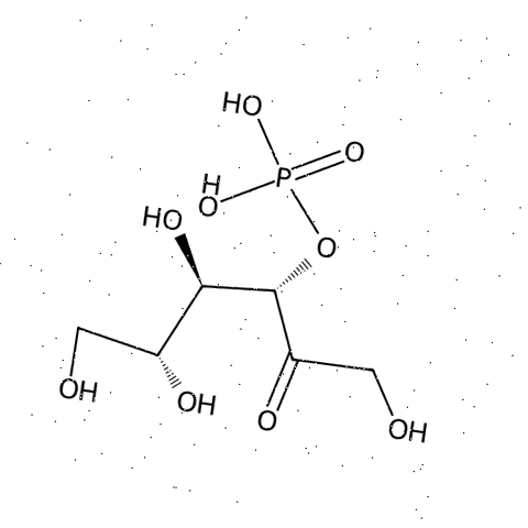 O=C(CO)[C@@H](OP(=O)(O)O)[C@H](O)[C@H](O)CO